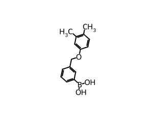 Cc1ccc(OCc2cccc(B(O)O)c2)cc1C